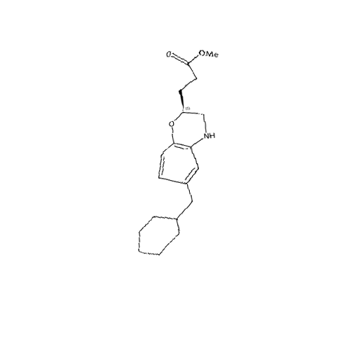 COC(=O)CC[C@H]1CNc2cc(CC3CCCCC3)ccc2O1